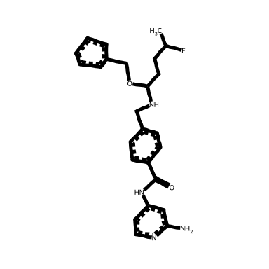 CC(F)CCC(NCc1ccc(C(=O)Nc2ccnc(N)c2)cc1)OCc1ccccc1